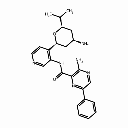 CC(C)[C@H]1C[C@@H](N)C[C@@H](c2ccncc2NC(=O)c2nc(-c3ccccc3)cnc2N)O1